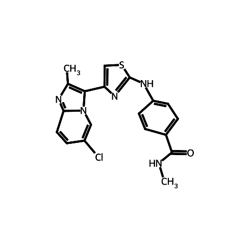 CNC(=O)c1ccc(Nc2nc(-c3c(C)nc4ccc(Cl)cn34)cs2)cc1